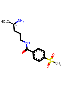 CS(=O)(=O)c1ccc(C(=O)NCCC[C@H](N)C(=O)O)cc1